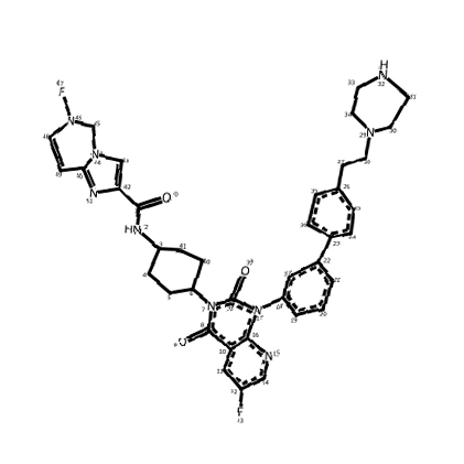 O=C(NC1CCC(n2c(=O)c3cc(F)cnc3n(-c3cccc(-c4ccc(CCN5CCNCC5)cc4)c3)c2=O)CC1)C1=C[N+]2CN(F)C=CC2=N1